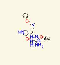 CCCCOc1nc(N)c2[nH]c(=O)n(C(CCCN(C)CCOc3ccccc3)C3CCNCC3)c2n1